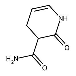 NC(=O)C1CC=CNC1=O